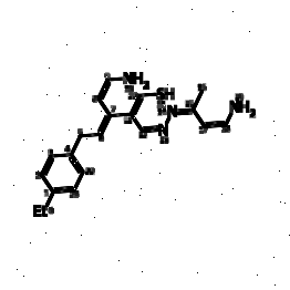 CCc1ccc(C/C=C(\C=C/N)C(/C=N\N=C(C)/C=C\N)=C/S)cc1